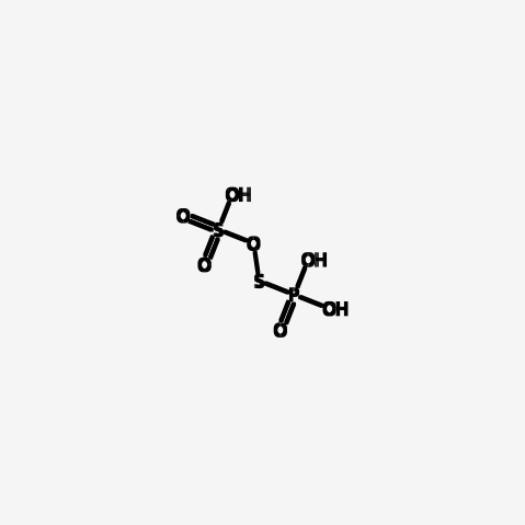 O=P(O)(O)SOS(=O)(=O)O